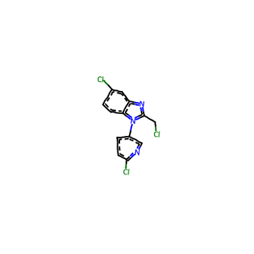 ClCc1nc2cc(Cl)ccc2n1-c1ccc(Cl)nc1